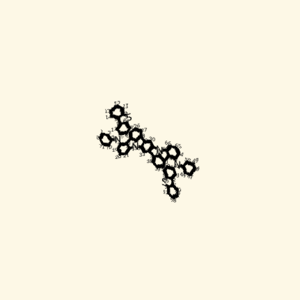 c1ccc(N(c2ccc3sc4ccccc4c3c2)c2cccc3c2c2cccc4c5cc6c(cc5n3c42)c2cccc3c4c(N(c5ccccc5)c5ccc7sc8ccccc8c7c5)cccc4n6c23)cc1